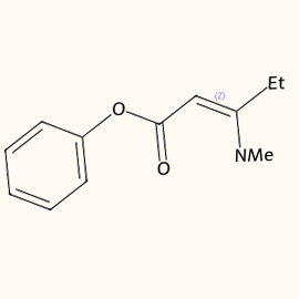 CC/C(=C/C(=O)Oc1ccccc1)NC